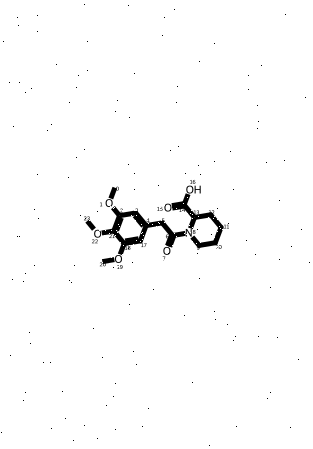 COc1cc(CC(=O)N2CCCCC2C(=O)O)cc(OC)c1OC